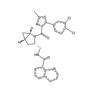 Cc1nc(C(=O)N2[C@H](CNC(=O)c3cccc4cccnc34)C[C@@H]3C[C@@H]32)c(-c2ccc(Cl)c(Cl)c2)s1